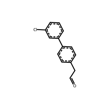 O=CCc1ccc(-c2cccc(Cl)c2)cc1